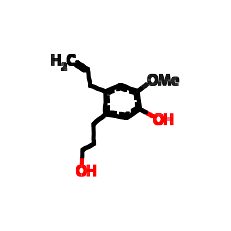 C=CCc1cc(OC)c(O)cc1CCCO